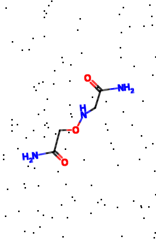 NC(=O)CNOCC(N)=O